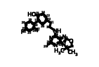 CC1(C)COc2nc3c(NCCc4ccc(O)c(-c5ccc(F)cc5F)c4)nc(I)nc3n21